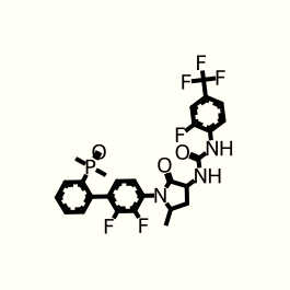 CC1CC(NC(=O)Nc2ccc(C(F)(F)F)cc2F)C(=O)N1c1ccc(-c2ccccc2P(C)(C)=O)c(F)c1F